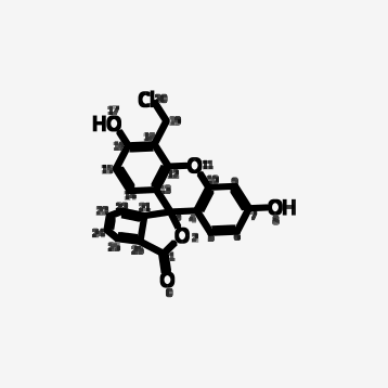 O=C1OC2(c3ccc(O)cc3Oc3c2ccc(O)c3CCl)c2ccccc21